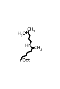 C=C(CCCCCCCCCCCC)NCCCN(C)C